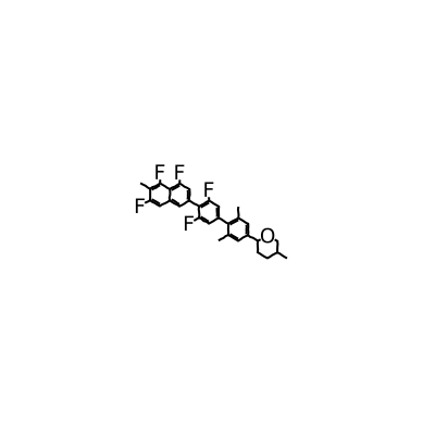 Cc1cc(C2CCC(C)CO2)cc(C)c1-c1cc(F)c(-c2cc(F)c3c(F)c(C)c(F)cc3c2)c(F)c1